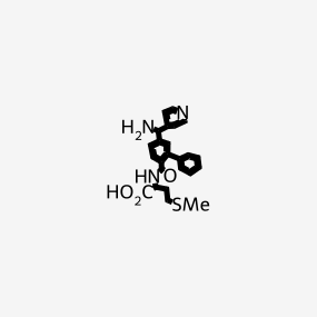 CSCCC(NC(=O)c1ccc(C(N)c2ccncc2)cc1-c1ccccc1)C(=O)O